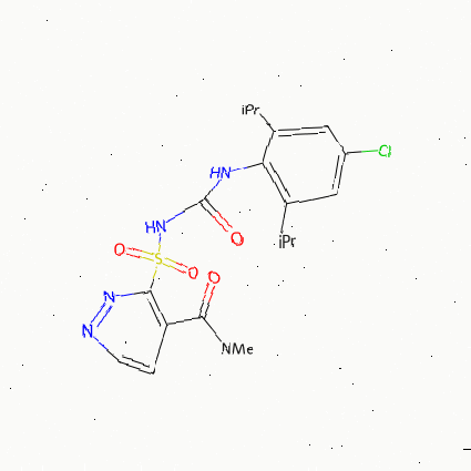 CNC(=O)c1ccnnc1S(=O)(=O)NC(=O)Nc1c(C(C)C)cc(Cl)cc1C(C)C